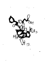 COc1ccc2c3c1O[C@@H]1C(OC(=O)[C@@H](OC(=O)CCC(=O)O)c4ccccc4)=CC[C@]4(O)[C@H](C2)N(C)CC[C@@]314